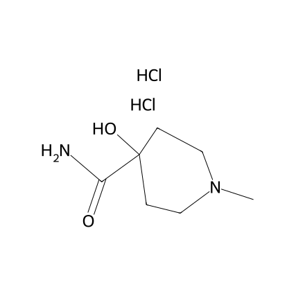 CN1CCC(O)(C(N)=O)CC1.Cl.Cl